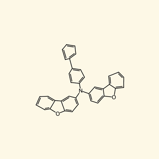 c1ccc(-c2ccc(N(c3ccc4oc5ccccc5c4c3)c3ccc4oc5ccccc5c4c3)cc2)cc1